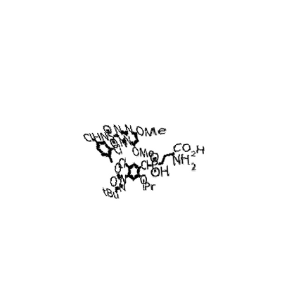 CC(C)Oc1cc(-n2nc(C(C)(C)C)oc2=O)c(Cl)cc1Cl.COc1cc(OC)n2nc(S(=O)(=O)Nc3c(Cl)ccc(C)c3Cl)nc2n1.CP(=O)(O)CCC(N)C(=O)O